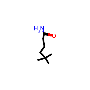 CC(C)(C)CCCC(N)=O